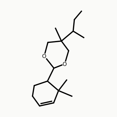 CCC(C)C1(C)COC(C2CCC=CC2(C)C)OC1